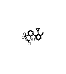 O=S1(=O)N=C(Cl)Nc2c(-c3cccc(F)c3C3CC3)cccc21